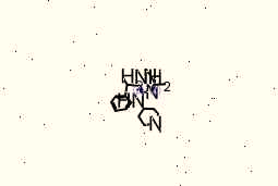 C/C(N)=N/C(NC1CCN(C)CC1)=C(\N)C(C)c1ccccc1